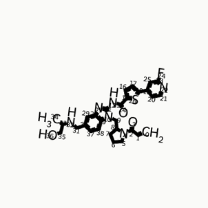 C=CC(=O)N1CCCC1Cn1c(NC(=O)c2ccc(-c3ccnc(F)c3)s2)nc2cc(CNC(C)CO)ccc21